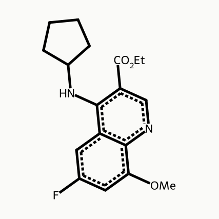 CCOC(=O)c1cnc2c(OC)cc(F)cc2c1NC1CCCC1